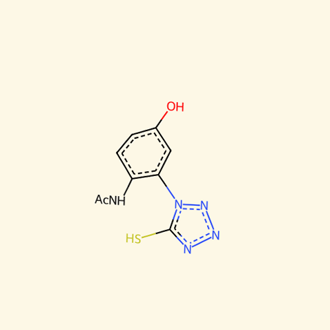 CC(=O)Nc1ccc(O)cc1-n1nnnc1S